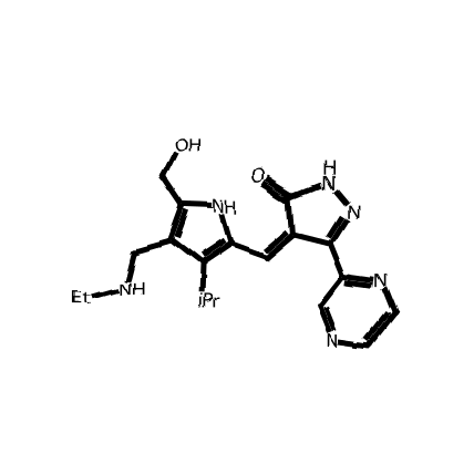 CCNCc1c(CO)[nH]c(C=C2C(=O)NN=C2c2cnccn2)c1C(C)C